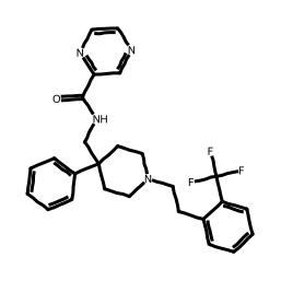 O=C(NCC1(c2ccccc2)CCN(CCc2ccccc2C(F)(F)F)CC1)c1cnccn1